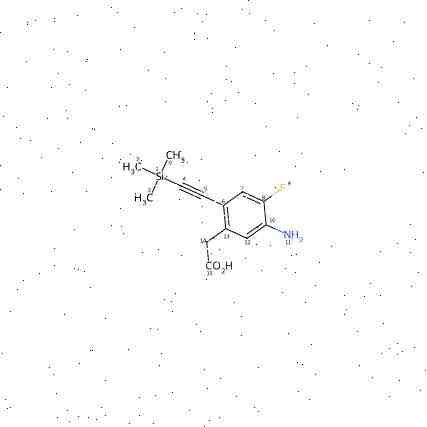 C[Si](C)(C)C#Cc1cc(F)c(N)cc1CC(=O)O